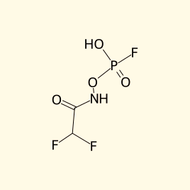 O=C(NOP(=O)(O)F)C(F)F